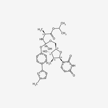 Cc1ccc(-c2ccc(O[PH](O)(N[C@@H](C)C(=O)OC(C)C)OC[C@H]3O[C@@H](n4ccc(=O)[nH]c4=O)[C@@H](C)[C@@H]3O)cc2)s1